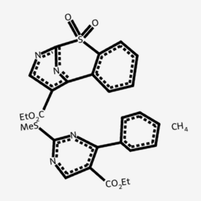 C.CCOC(=O)c1cnc(SC)nc1-c1ccccc1.CCOC(=O)c1cnc2nc1-c1ccccc1S2(=O)=O